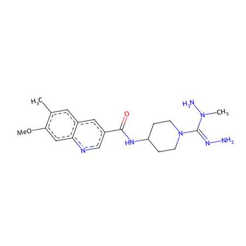 COc1cc2ncc(C(=O)NC3CCN(/C(=N/N)N(C)N)CC3)cc2cc1C